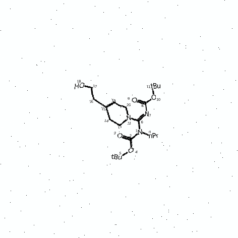 CCCN(C(=O)OC(C)(C)C)/C(=N/C(=O)OC(C)(C)C)N1CCC(CCO)CC1